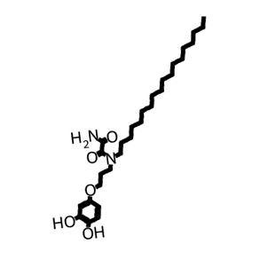 CCCCCCCCCCCCCCCCCCN(CCCOc1ccc(O)c(O)c1)C(=O)C(N)=O